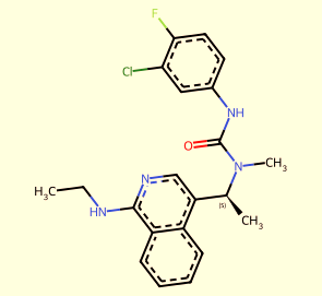 CCNc1ncc([C@H](C)N(C)C(=O)Nc2ccc(F)c(Cl)c2)c2ccccc12